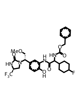 COC[C@H](c1ccc(O)c(NC(=O)C(NC(=O)OCc2ccccc2)C2CCC(F)CC2)c1)N1C[C@@H](C(F)(F)F)NC1=O